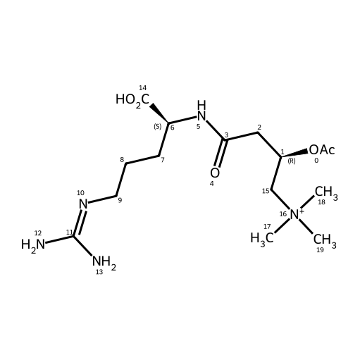 CC(=O)O[C@H](CC(=O)N[C@@H](CCCN=C(N)N)C(=O)O)C[N+](C)(C)C